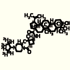 [2H]C([2H])([2H])C(N1CCN(C(=O)[C@H]2C[C@@H](NC(=O)[C@]34CC[C@@H](C(=C)C)[C@@H]3[C@H]3CC[C@@H]5[C@@]6(C)CC[C@H](O)C(C)(C)[C@@H]6CC[C@@]5(C)[C@]3(C)CC4)C2(C)C)CC1)C([2H])([2H])[2H]